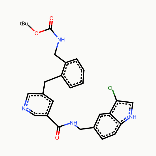 CC(C)(C)OC(=O)NCc1ccccc1Cc1cncc(C(=O)NCc2ccc3[nH]cc(Cl)c3c2)c1